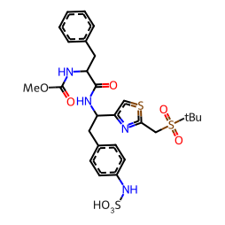 COC(=O)NC(Cc1ccccc1)C(=O)NC(Cc1ccc(NS(=O)(=O)O)cc1)c1csc(CS(=O)(=O)C(C)(C)C)n1